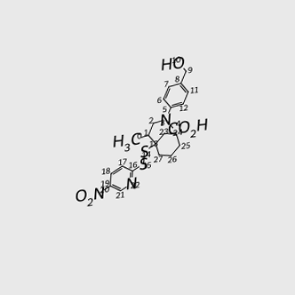 CC(CN(C(=O)O)c1ccc(CO)cc1)C1(SSc2ccc([N+](=O)[O-])cn2)CCCCC1